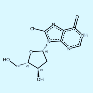 O=c1[nH]cnc2c1nc(Cl)n2[C@@H]1C[C@@H](O)[C@H](CO)O1